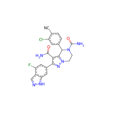 N#Cc1ccc(C2c3c(C(N)=O)c(-c4cc(F)c5cn[nH]c5c4)nn3CCN2C(N)=O)cc1Cl